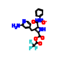 Nc1cc(CC2C(C(=O)OC(=O)C(F)(F)F)NC2C(=O)[NH+]([O-])c2ccccc2)ccn1